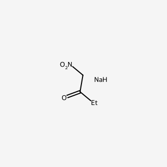 CCC(=O)C[N+](=O)[O-].[NaH]